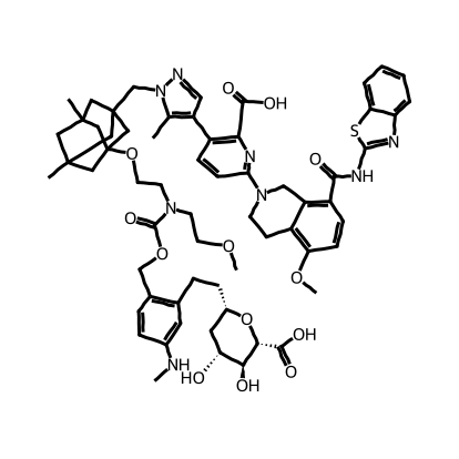 CNc1ccc(COC(=O)N(CCOC)CCOC23CC4(C)CC(C)(CC(Cn5ncc(-c6ccc(N7CCc8c(OC)ccc(C(=O)Nc9nc%10ccccc%10s9)c8C7)nc6C(=O)O)c5C)(C4)C2)C3)c(CC[C@H]2C[C@@H](O)[C@H](O)[C@@H](C(=O)O)O2)c1